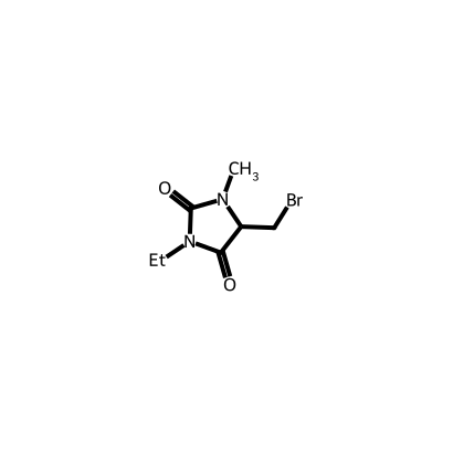 CCN1C(=O)C(CBr)N(C)C1=O